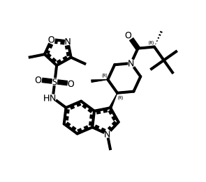 Cc1noc(C)c1S(=O)(=O)Nc1ccc2c(c1)c([C@@H]1CCN(C(=O)[C@H](C)C(C)(C)C)C[C@@H]1C)cn2C